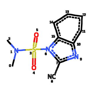 CN(C)S(=O)(=O)n1c(C#N)nc2ccccc21